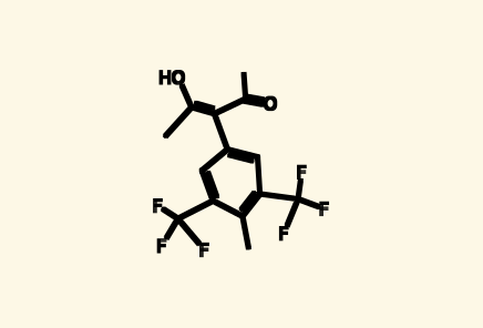 CC(=O)/C(=C(/C)O)c1cc(C(F)(F)F)c(C)c(C(F)(F)F)c1